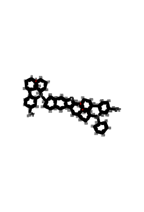 CC(C)c1ccc(-c2ccccc2)c(N(c2ccccc2)c2ccc3cc4c(cc3c2)oc2cc3cc(N(c5ccccc5)c5cc(C(C)C)ccc5-c5ccccc5)ccc3cc24)c1